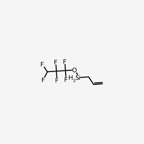 C=CC[SiH2]OC(F)(F)C(F)(F)C(F)F